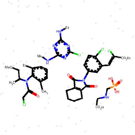 CCNc1nc(Cl)nc(NC(C)(C)C)n1.CCOC(=O)/C(Cl)=C/c1cc(N2C(=O)C3=C(CCCC3)C2=O)ccc1Cl.CCc1cccc(C)c1N(C(=O)CCl)C(C)COC.O=C(O)CNCP(=O)(O)O